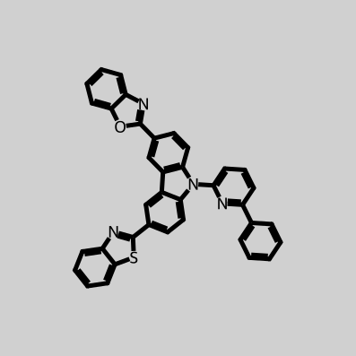 c1ccc(-c2cccc(-n3c4ccc(-c5nc6ccccc6o5)cc4c4cc(-c5nc6ccccc6s5)ccc43)n2)cc1